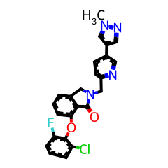 Cn1cc(-c2ccc(CN3Cc4cccc(Oc5c(F)cccc5Cl)c4C3=O)nc2)cn1